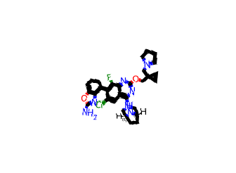 Nc1nc2c(-c3c(Cl)cc4c(N5C[C@H]6CC[C@@H](C5)N6)nc(OCC5(CN6CCCC6)CC5)nc4c3F)cccc2o1